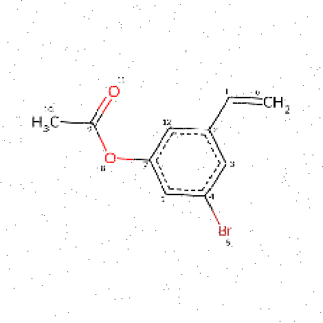 C=Cc1cc(Br)cc(OC(C)=O)c1